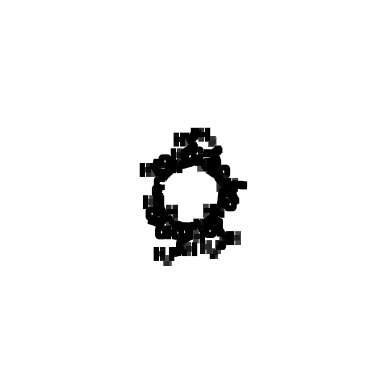 CCC(C)C1NC(=O)C(CC(C)C)NC(=O)C(CCNP)NC(=O)C(NC)CCNC(=O)C(C(C)O)NC(=O)C(CCNP)NC(=O)C(CCNP)NC1=O